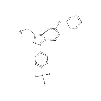 NCc1nn(-c2ccc(C(F)(F)F)cc2)c2ccc(Oc3ccccc3)cc12